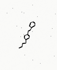 C=CC=Cc1ccc(C=Cc2ccccc2)cc1